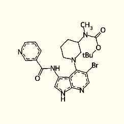 CN(C(=O)OC(C)(C)C)C1CCCN(c2c(Br)cnc3[nH]cc(NC(=O)c4cccnc4)c23)C1